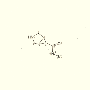 CCNC(=O)C1C2CNCC21